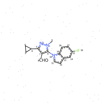 Cn1nc(C2CC2)c(C=O)c1-n1ccc2cc(F)ccc21